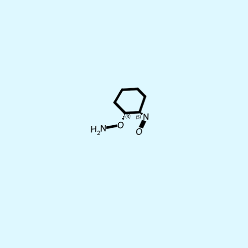 NO[C@@H]1CCCC[C@@H]1N=O